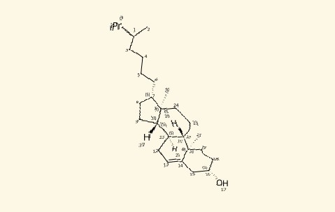 CC(C)C(C)CCCC[C@H]1CC[C@H]2[C@@H]3CC=C4C[C@@H](O)CC[C@]4(C)[C@H]3CC[C@]12C